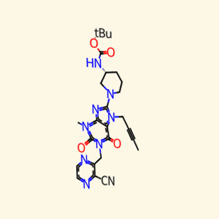 CC#CCn1c(N2CCC[C@@H](NC(=O)OC(C)(C)C)C2)nc2c1c(=O)n(Cc1nccnc1C#N)c(=O)n2C